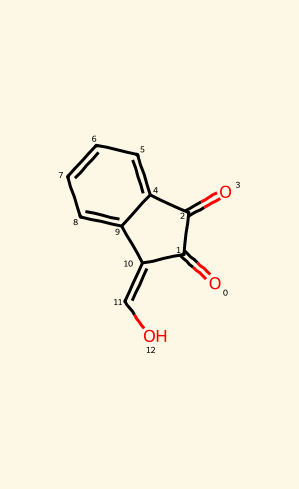 O=C1C(=O)c2ccccc2/C1=C/O